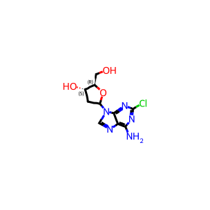 Nc1nc(Cl)nc2c1ncn2C1C[C@H](O)[C@@H](CO)O1